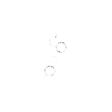 Cc1ccc(COc2cccc3c2CCC3=O)cc1